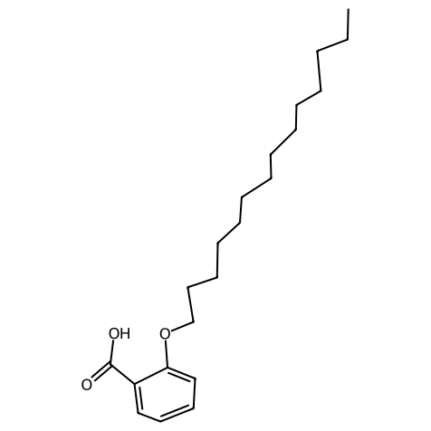 CCCCCCCCCCCCCCOc1ccccc1C(=O)O